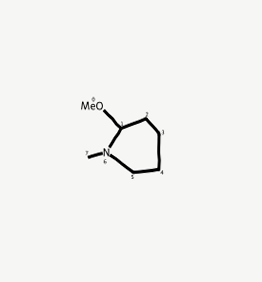 COC1C[CH]CCN1C